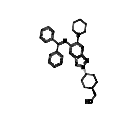 OC[C@H]1CC[C@H](n2cc3cc(N=C(c4ccccc4)c4ccccc4)c(N4CCCCC4)cc3n2)CC1